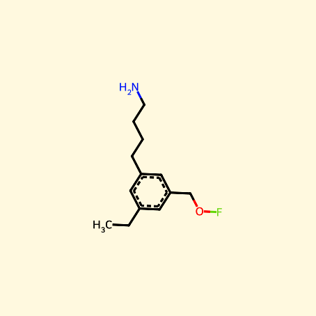 CCc1cc(CCCCN)cc(COF)c1